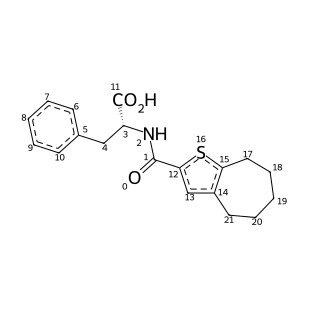 O=C(N[C@H](Cc1ccccc1)C(=O)O)c1cc2c(s1)CCCCC2